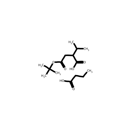 CC(C)C(CC(=O)OC(C)(C)C)C(=O)O.CCCC(=O)O